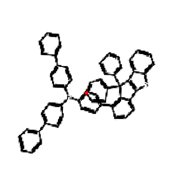 c1ccc(-c2ccc(N(c3ccc(-c4ccccc4)cc3)c3ccc(-c4cccc5c4C(c4ccccc4)(c4ccccc4)c4c-5sc5ccccc45)cc3)cc2)cc1